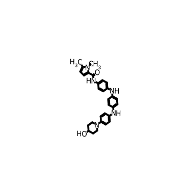 Cc1ccc(C(=O)Nc2ccc(Nc3ccc(Nc4ccc(N5CCC(O)CC5)cc4)cc3)cc2)n1C